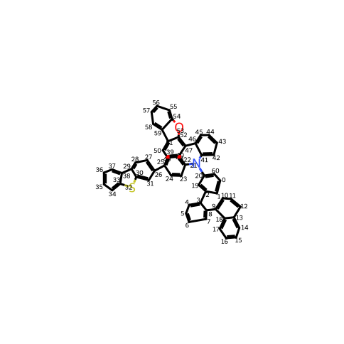 c1cc(-c2ccccc2-c2cccc3ccccc23)cc(N(c2ccc(-c3ccc4c(c3)sc3ccccc34)cc2)c2ccccc2-c2cccc3c2oc2ccccc23)c1